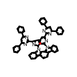 C1=CC(n2c3ccccc3c3ccc4c5ccccc5n(-c5cccc(-c6nc(-c7ccccc7)cc(-c7ccccc7)n6)n5)c4c32)N2C1C2c1nc(-c2ccccc2)cc(-c2ccccc2)n1